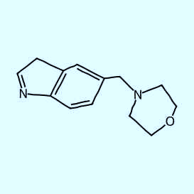 C1=Nc2ccc(CN3CCOCC3)cc2C1